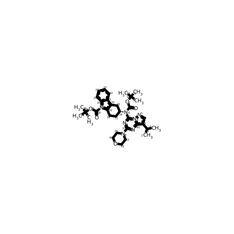 CC(C)c1cnn2c(N(C(=O)OC(C)(C)C)[C@@H]3CCc4c(c5ccccc5n4C(=O)OC(C)(C)C)C3)nc(N3CCOCC3)nc12